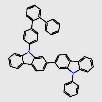 c1ccc(-c2ccccc2-c2ccc(-n3c4ccccc4c4ccc(-c5ccc6c7ccccc7n(-c7ccccc7)c6c5)cc43)cc2)cc1